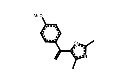 C=C(c1ccc(OC)cc1)c1[se]c(C)nc1C